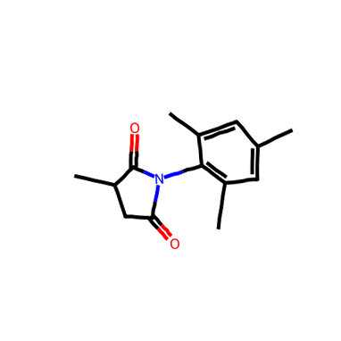 Cc1cc(C)c(N2C(=O)CC(C)C2=O)c(C)c1